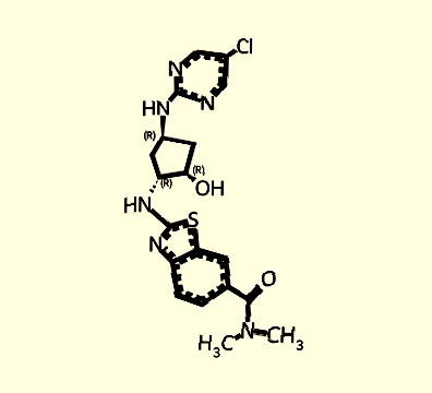 CN(C)C(=O)c1ccc2nc(N[C@@H]3C[C@@H](Nc4ncc(Cl)cn4)C[C@H]3O)sc2c1